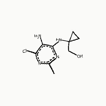 Cc1nc(Cl)c(N)c(NC2(CO)CC2)n1